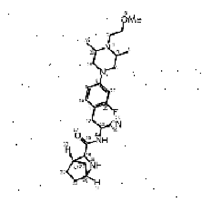 COCCN1C(C)CN(c2ccc(C[C@@H](C#N)NC(=O)[C@H]3N[C@@H]4CC[C@H]3C4)c(F)c2)CC1C